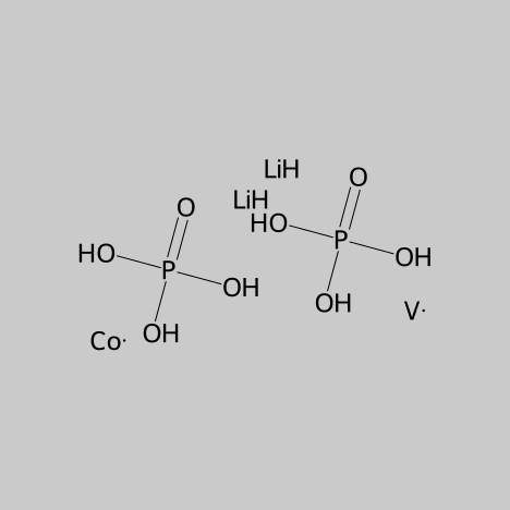 O=P(O)(O)O.O=P(O)(O)O.[Co].[LiH].[LiH].[V]